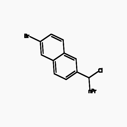 CCCC(Cl)c1ccc2cc(Br)ccc2c1